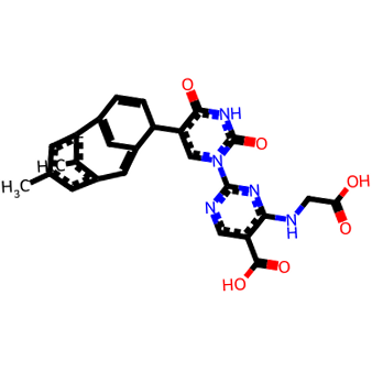 Cc1cc2c(C)c(c1)C1=CC(=C2)C(c2cn(-c3ncc(C(=O)O)c(NCC(=O)O)n3)c(=O)[nH]c2=O)C=C1